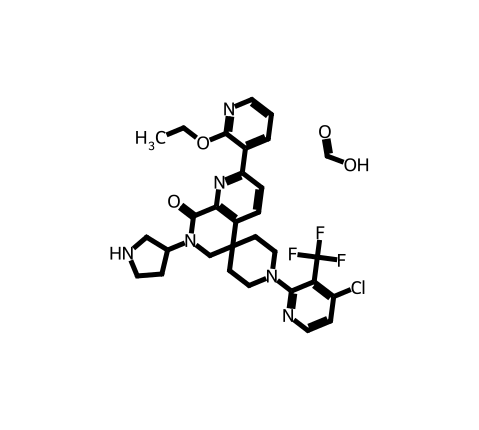 CCOc1ncccc1-c1ccc2c(n1)C(=O)N(C1CCNC1)CC21CCN(c2nccc(Cl)c2C(F)(F)F)CC1.O=CO